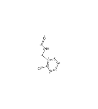 O=[C]NCc1ccccc1Cl